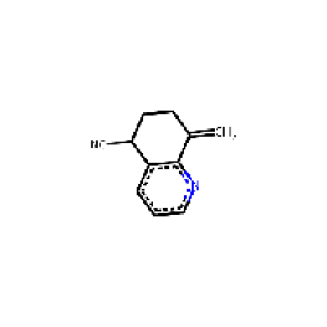 C=C1CCC(C#N)c2cccnc21